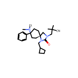 CCN(C)[C@]1(c2ccccc2)CC[C@@]2(CC1)CN(CC(C)(C)C#N)C(=O)N2CC1CCC1